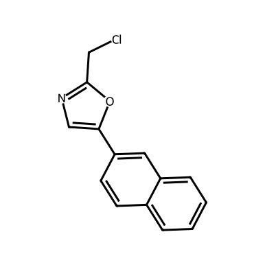 ClCc1ncc(-c2ccc3ccccc3c2)o1